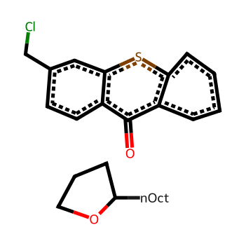 CCCCCCCCC1CCCO1.O=c1c2ccccc2sc2cc(CCl)ccc12